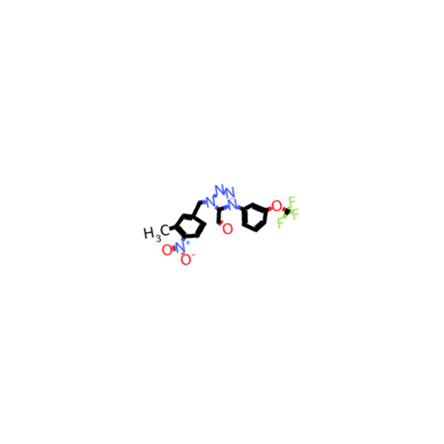 Cc1cc(CN2N=NN(c3cccc(OC(F)(F)F)c3)C2C=O)ccc1[N+](=O)[O-]